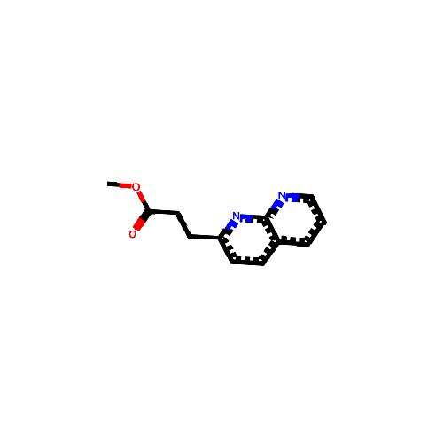 COC(=O)CCc1ccc2cccnc2n1